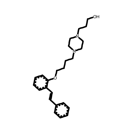 OCCCN1CCN(CCCCOc2ccccc2/C=C/c2ccccc2)CC1